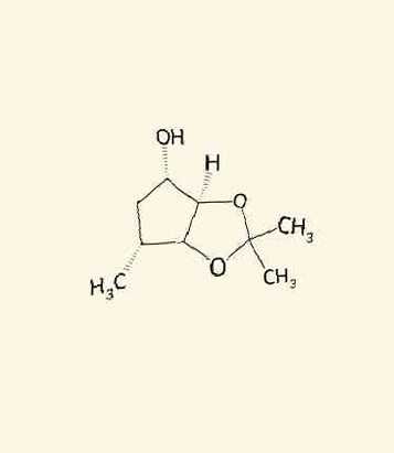 C[C@@H]1C[C@H](O)[C@H]2OC(C)(C)OC12